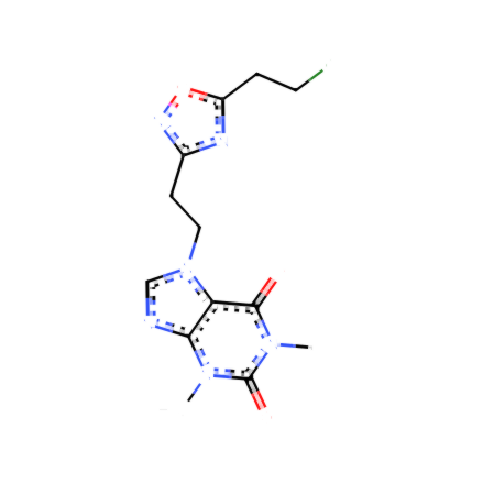 Cn1c(=O)c2c(ncn2CCc2noc(CCCl)n2)n(C)c1=O